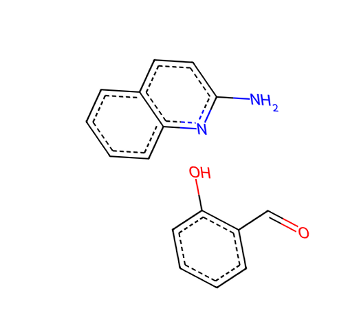 Nc1ccc2ccccc2n1.O=Cc1ccccc1O